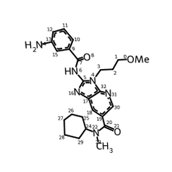 COCCCn1c(NC(=O)c2cccc(N)c2)nc2cc(C(=O)N(C)C3CCCCC3)cnc21